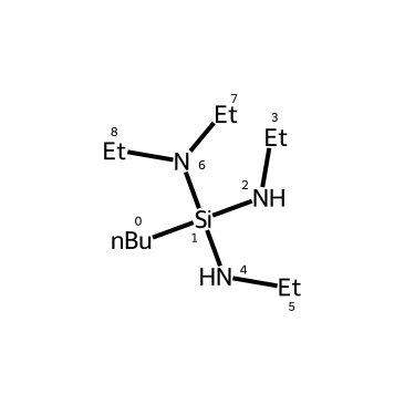 CCCC[Si](NCC)(NCC)N(CC)CC